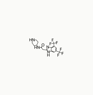 O=C(Cc1nc2c(C(F)(F)F)cc(C(F)(F)F)cc2[nH]1)NC1CCNCC1